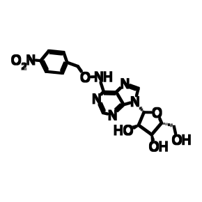 O=[N+]([O-])c1ccc(CONc2ncnc3c2ncn3[C@@H]2O[C@H](CO)[C@@H](O)[C@H]2O)cc1